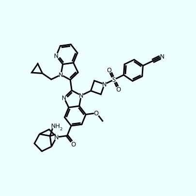 COc1cc(C(=O)N2CC3CCC2C3(C)N)cc2nc(-c3cc4cccnc4n3CC3CC3)n(C3CN(S(=O)(=O)c4ccc(C#N)cc4)C3)c12